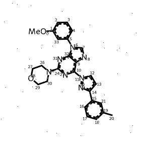 COc1cccc(-n2cnc3c(-n4ccc(-c5cccc(C)c5)n4)nc(N4CCOCC4)nc32)c1